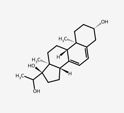 CC(O)[C@@]1(O)CC[C@H]2C3=CC=C4C[C@@H](O)CC[C@]4(C)[C@H]3CC[C@@]21C